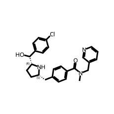 CN(Cc1cccnc1)C(=O)c1ccc(C[C@@H]2CC[C@H](C(O)c3ccc(Cl)cc3)N2)cc1